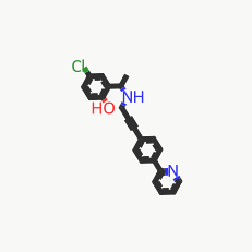 CC(NCC#Cc1ccc(-c2ccccn2)cc1)c1cc(Cl)ccc1O